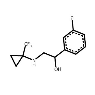 OC(CNC1(C(F)(F)F)CC1)c1cccc(F)c1